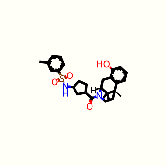 Cc1cccc(S(=O)(=O)NC2CCC(C(=O)N3CC[C@@]4(C)c5cccc(O)c5C[C@@H]3C4(C)C)C2)c1